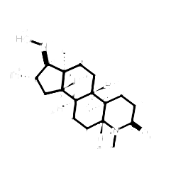 CC(C)[C@H]1C[C@H]2[C@@H]3CC[C@H]4N(C)C(=O)CC[C@]4(C)[C@H]3CC[C@]2(C)C1=NO